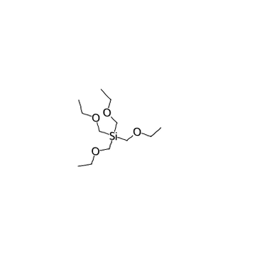 CCOC[Si](COCC)(COCC)COCC